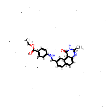 CCOC(=O)c1ccc(NCc2ccc3ccc4nc(C)[nH]c(=O)c4c3c2)cc1